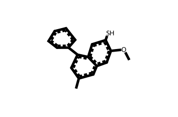 COc1cc2cc(C)cc(-c3ccccc3)c2cc1S